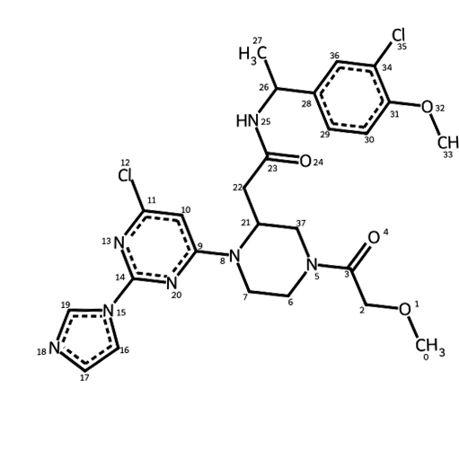 COCC(=O)N1CCN(c2cc(Cl)nc(-n3ccnc3)n2)C(CC(=O)NC(C)c2ccc(OC)c(Cl)c2)C1